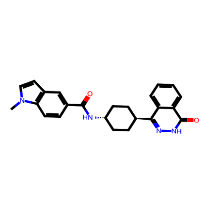 Cn1ccc2cc(C(=O)N[C@H]3CC[C@H](c4n[nH]c(=O)c5ccccc54)CC3)ccc21